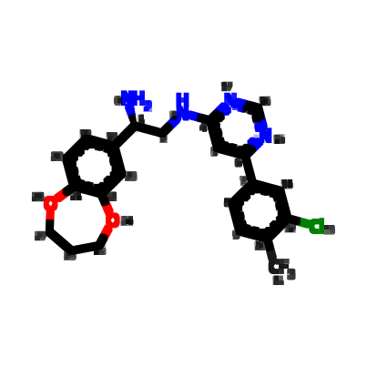 N[C@@H](CNc1cc(-c2ccc(C(F)(F)F)c(Cl)c2)ncn1)c1ccc2c(c1)OCCCO2